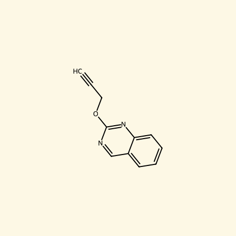 C#CCOc1ncc2ccccc2n1